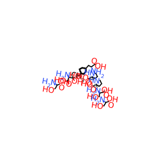 CC(O)C(N)C(=O)O.NC(CO)C(=O)O.NC(CO)C(=O)O.NC(CO)C(=O)O.NC(Cc1ccc(O)cc1)C(=O)O.O=C(O)[C@@H]1CCCN1.O=C(O)[C@@H]1CCCN1